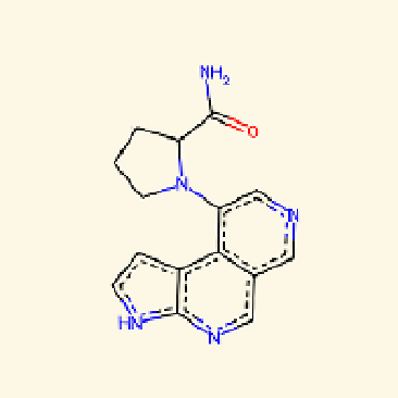 NC(=O)C1[CH]CCN1c1cncc2cnc3[nH]ccc3c12